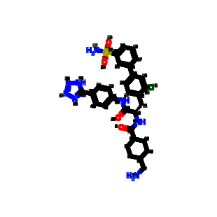 Cl.NCC1CCC(C(=O)N[C@@H](Cc2ccc(-c3cccc(S(N)(=O)=O)c3)cc2)C(=O)Nc2ccc(-c3nnn[nH]3)cc2)CC1